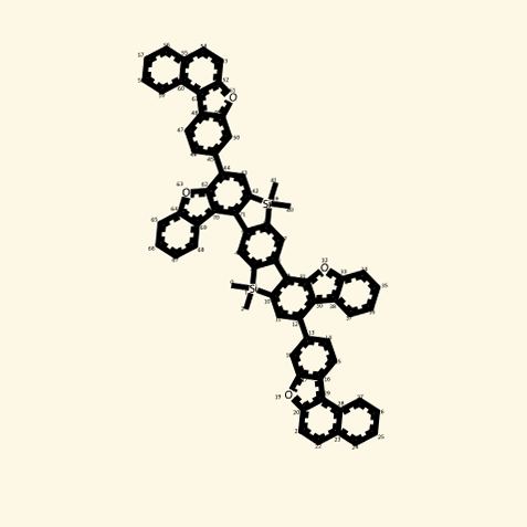 C[Si]1(C)c2cc3c(cc2-c2c1cc(-c1ccc4c(c1)oc1ccc5ccccc5c14)c1c2oc2ccccc21)[Si](C)(C)c1cc(-c2ccc4c(c2)oc2ccc5ccccc5c24)c2oc4ccccc4c2c1-3